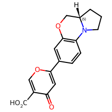 O=C(O)c1coc(-c2ccc3c(c2)OC[C@@H]2CCCN32)cc1=O